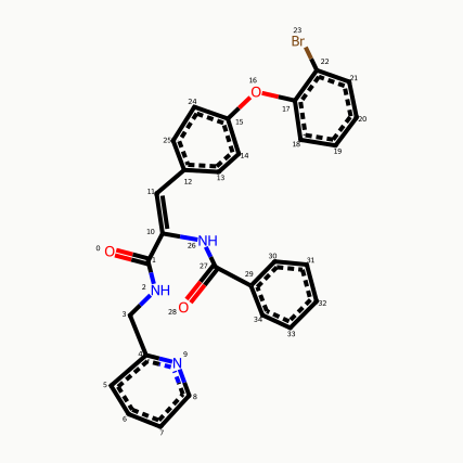 O=C(NCc1ccccn1)C(=Cc1ccc(Oc2ccccc2Br)cc1)NC(=O)c1ccccc1